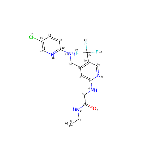 CCNC(=O)CNc1cc(CNc2ccc(Cl)cn2)c(C(F)(F)F)cn1